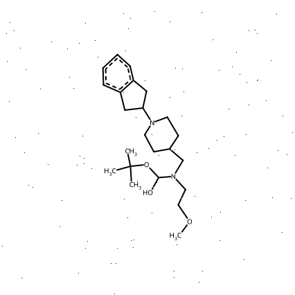 COCCN(CC1CCN(C2Cc3ccccc3C2)CC1)C(O)OC(C)(C)C